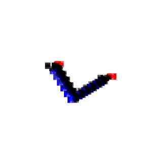 BO.BO.c1cn[nH]c1.c1cn[nH]c1.c1cn[nH]c1.c1cn[nH]c1.c1cn[nH]c1.c1cn[nH]c1.c1cn[nH]c1.c1cn[nH]c1.c1cn[nH]c1.c1cn[nH]c1.c1cn[nH]c1